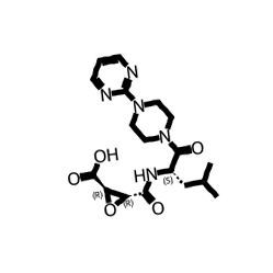 CC(C)C[C@H](NC(=O)[C@@H]1O[C@H]1C(=O)O)C(=O)N1CCN(c2ncccn2)CC1